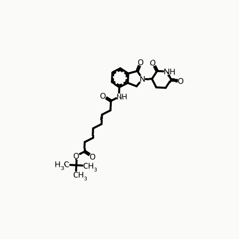 CC(C)(C)OC(=O)CCCCCCC(=O)Nc1cccc2c1CN(C1CCC(=O)NC1=O)C2=O